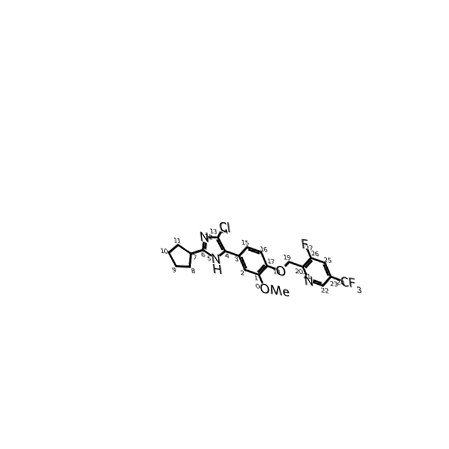 COc1cc(-c2[nH]c(C3CCCC3)nc2Cl)ccc1OCc1ncc(C(F)(F)F)cc1F